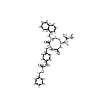 CNC(=O)N(C)N1CCN(Cc2cccc3ccccc23)C(=O)[C@H](Cc2ccc(NC(=O)OCc3ccccc3)cc2)NC(=O)C1